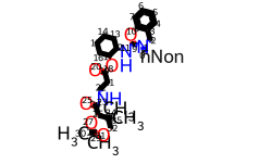 CCCCCCCCCN(Cc1ccccc1)C(=O)N[C@H]1CCCC[C@@H]1OC(=O)CCNC(=O)C1OC(C)(C)OCC1(C)C